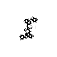 O=C1C(=Cc2cc[n+](Cc3ccccc3)c3ccccc23)C(O)=C1C=C1C=CN(Cc2ccccc2)c2ccccc21